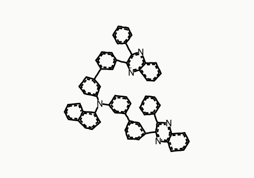 c1ccc(-c2nc3ccccc3nc2-c2cccc(-c3cccc(N(c4cccc(-c5cccc(-c6nc7ccccc7nc6-c6ccccc6)c5)c4)c4cccc5ccccc45)c3)c2)cc1